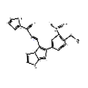 O=C(/C=C/c1c(-c2ccc(CO)c([N+](=O)[O-])c2)nc2sccn12)c1ccc[nH]1